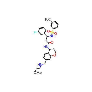 COCCNCc1ccc2c(c1)OCCC2NC(=O)CC(NS(=O)(=O)c1cccc(C(F)(F)F)c1)c1cccc(F)c1